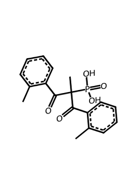 Cc1ccccc1C(=O)C(C)(C(=O)c1ccccc1C)P(=O)(O)O